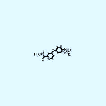 CN(I)C(=O)c1cc(Oc2ccc(NS(=O)(=O)F)cc2)ccn1